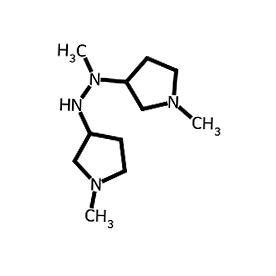 CN1CCC(NN(C)C2CCN(C)C2)C1